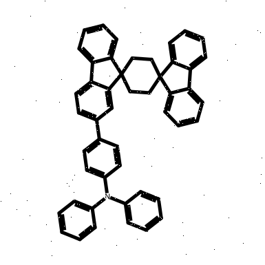 c1ccc(N(c2ccccc2)c2ccc(-c3ccc4c(c3)C3(CCC5(CC3)c3ccccc3-c3ccccc35)c3ccccc3-4)cc2)cc1